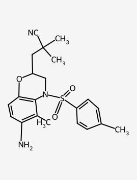 Cc1ccc(S(=O)(=O)N2CC(CC(C)(C)C#N)Oc3ccc(N)c(C)c32)cc1